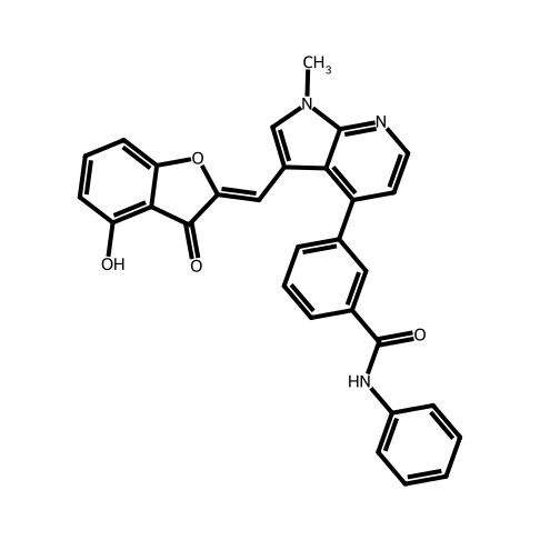 Cn1cc(C=C2Oc3cccc(O)c3C2=O)c2c(-c3cccc(C(=O)Nc4ccccc4)c3)ccnc21